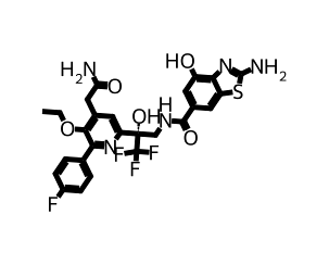 CCOc1c(CC(N)=O)cc([C@@](O)(CNC(=O)c2cc(O)c3nc(N)sc3c2)C(F)(F)F)nc1-c1ccc(F)cc1